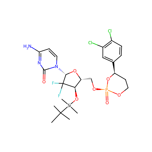 CC(C)(C)[Si](C)(C)O[C@@H]1[C@@H](CO[P@]2(=O)OCC[C@H](c3ccc(Cl)c(Cl)c3)O2)O[C@@H](n2ccc(N)nc2=O)C1(F)F